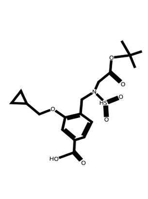 CC(C)(C)OC(=O)CN(Cc1ccc(C(=O)O)cc1OCC1CC1)[SH](=O)=O